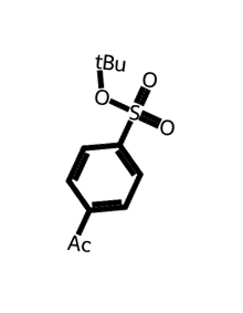 CC(=O)c1ccc(S(=O)(=O)OC(C)(C)C)cc1